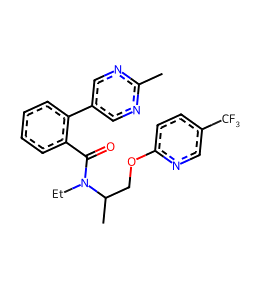 CCN(C(=O)c1ccccc1-c1cnc(C)nc1)C(C)COc1ccc(C(F)(F)F)cn1